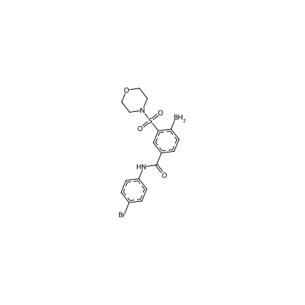 Bc1ccc(C(=O)Nc2ccc(Br)cc2)cc1S(=O)(=O)N1CCOCC1